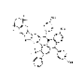 CC(C)(C)c1ccc(N2B3c4cc(C(C)(C)C)ccc4N(c4ccc(C(C)(C)C)cc4)c4cc5c(c(c43)-c3cc4sc6cc7c(cc6c4cc32)C(C)(C)CCC7(C)C)C(C)(C)c2ccccc2-5)cc1